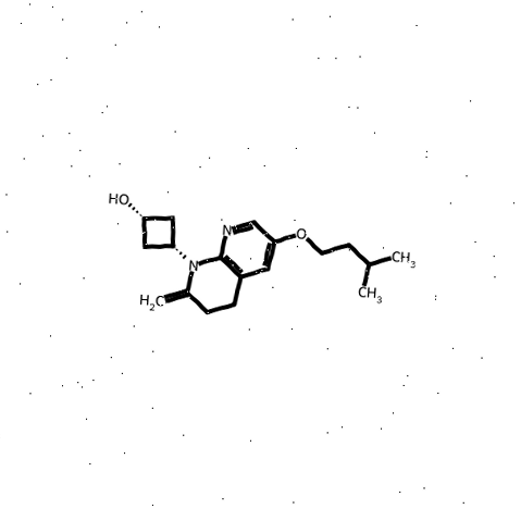 C=C1CCc2cc(OCCC(C)C)cnc2N1[C@H]1C[C@@H](O)C1